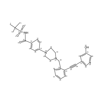 CC(C)(C)S(=O)(=O)NC(=O)c1ccc(N2CCN(Cc3ccccc3C#Cc3cncc(O)c3)CC2)cc1